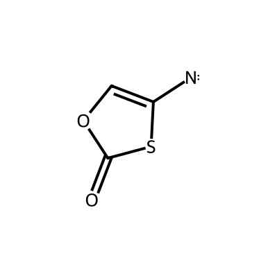 [N]c1coc(=O)s1